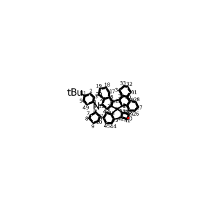 CC(C)(C)c1ccc(N(c2ccccc2)c2cc3c(c4ccccc24)-c2c(c4ccccc4c4ccccc24)C32c3ccccc3-c3ccccc32)cc1